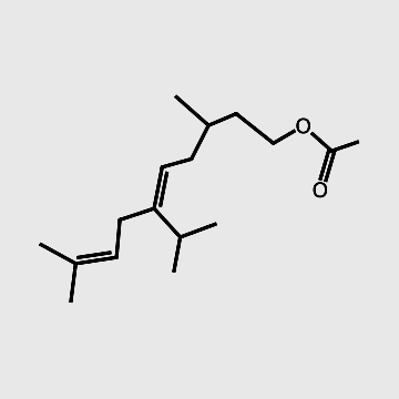 CC(=O)OCCC(C)CC=C(CC=C(C)C)C(C)C